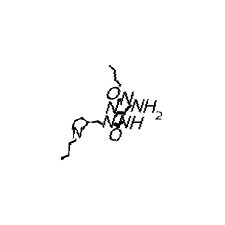 CCCCOc1nc(N)c2[nH]c(=O)n(CCC3CCCN(CCCC)C3)c2n1